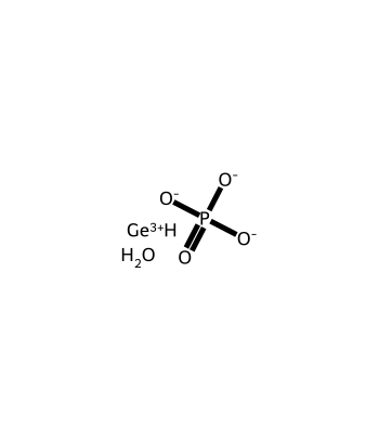 O.O=P([O-])([O-])[O-].[GeH+3]